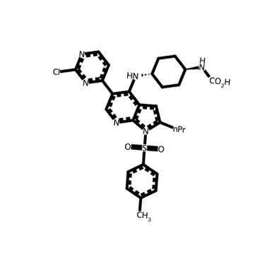 CCCc1cc2c(N[C@H]3CC[C@H](NC(=O)O)CC3)c(-c3ccnc(Cl)n3)cnc2n1S(=O)(=O)c1ccc(C)cc1